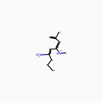 C=C(C)/C=C(\C=C(\N)CCC)NC